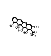 NC(=O)c1c(O)cc2cc3cc4cccc(O)c4c(O)c3c(O)c2c1O